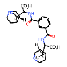 O=C(NC(C(=O)O)[C@H]1CN2CCC1CC2)c1cccc(C(=O)NC(C(=O)O)[C@H]2CN3CCC2CC3)c1